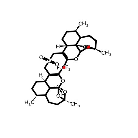 C[C@@H]1CC[C@H]2C(CS(=O)(=O)CC3=C(C(F)(F)F)O[C@@H]4O[C@]5(C)CCC6[C@H](C)CC[C@@H]3[C@]64OO5)=C(C(F)(F)F)O[C@@H]3O[C@]4(C)CCC1[C@]32OO4